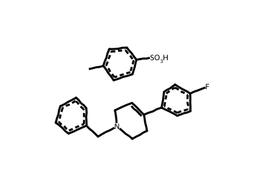 Cc1ccc(S(=O)(=O)O)cc1.Fc1ccc(C2=CCN(Cc3ccccc3)CC2)cc1